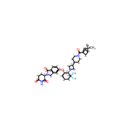 C[C@H]1CC2(C(=O)N3CCC(C4CN([C@@H]5[C@H](Oc6ccc7c(c6)CN(C6CCC(=O)NC6=O)C7=O)CCCC5(F)F)C4)CC3)CC1C2